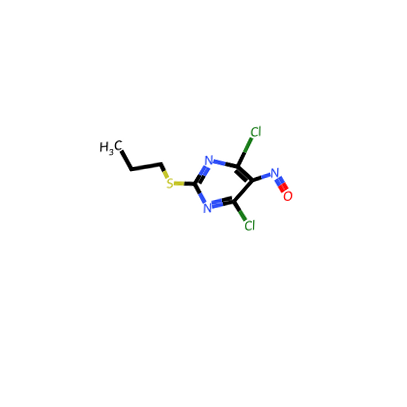 CCCSc1nc(Cl)c(N=O)c(Cl)n1